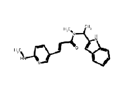 CNc1ccc(C=CC(=O)N(C)C(C)c2cc3ccccc3[nH]2)cn1